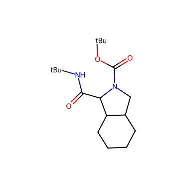 CC(C)(C)NC(=O)C1C2CCCCC2CN1C(=O)OC(C)(C)C